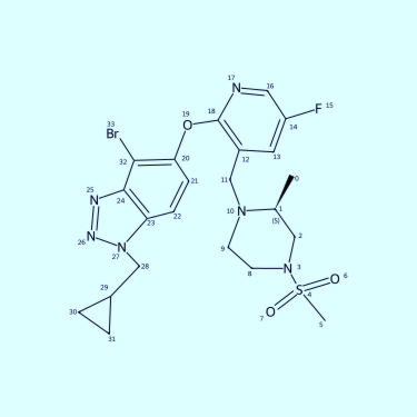 C[C@H]1CN(S(C)(=O)=O)CCN1Cc1cc(F)cnc1Oc1ccc2c(nnn2CC2CC2)c1Br